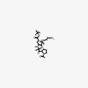 CC(=O)N1CCCC1C(=O)C(C)(C)NC(CCC(=O)OC(C)(C)C)C(=O)C(C)(C)NCCN